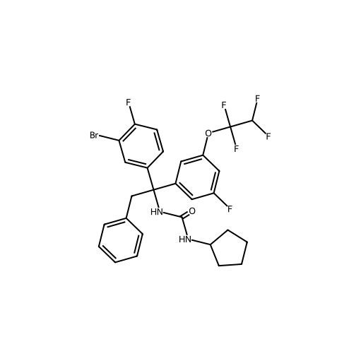 O=C(NC1CCCC1)NC(Cc1ccccc1)(c1cc(F)cc(OC(F)(F)C(F)F)c1)c1ccc(F)c(Br)c1